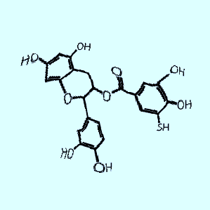 O=C(OC1Cc2c(O)cc(O)cc2OC1c1ccc(O)c(O)c1)c1cc(O)c(O)c(S)c1